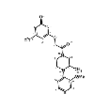 CCCc1cc(=O)[nH]c(SCC(=O)N2CCN(c3ccccc3OC)C(C)C2)n1